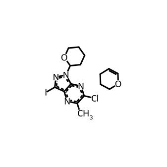 C1=COCCC1.Cc1nc2c(I)nn(C3CCCCO3)c2nc1Cl